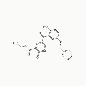 CCOC(=O)c1cc(C(=O)c2cc(OCc3ccccc3)ccc2O)c[nH]c1=O